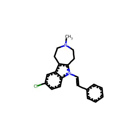 CN1CCc2c(n(/C=C/c3ccccc3)c3ccc(Cl)cc23)CC1